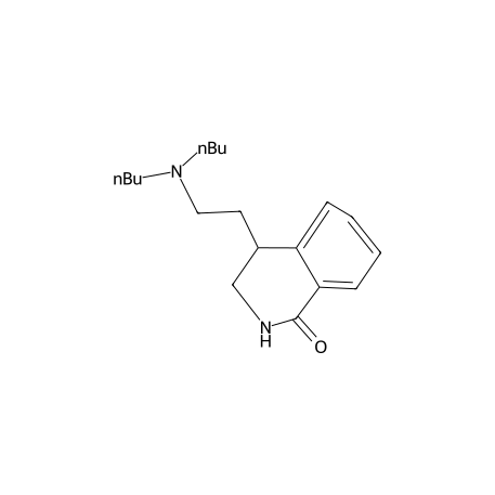 CCCCN(CCCC)CCC1CNC(=O)c2ccccc21